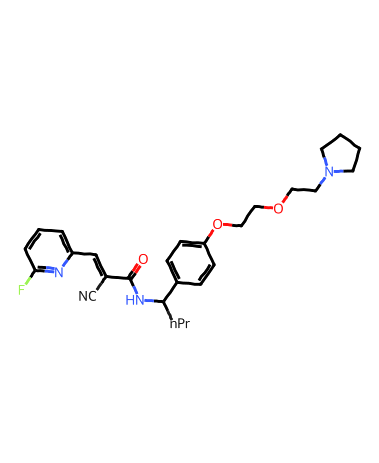 CCCC(NC(=O)/C(C#N)=C/c1cccc(F)n1)c1ccc(OCCOCCN2CCCC2)cc1